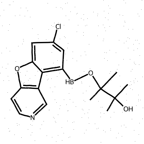 CC(C)(O)C(C)(C)OBc1cc(Cl)cc2oc3ccncc3c12